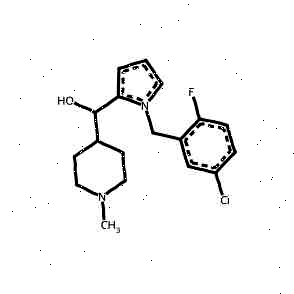 CN1CCC(C(O)c2cccn2Cc2cc(Cl)ccc2F)CC1